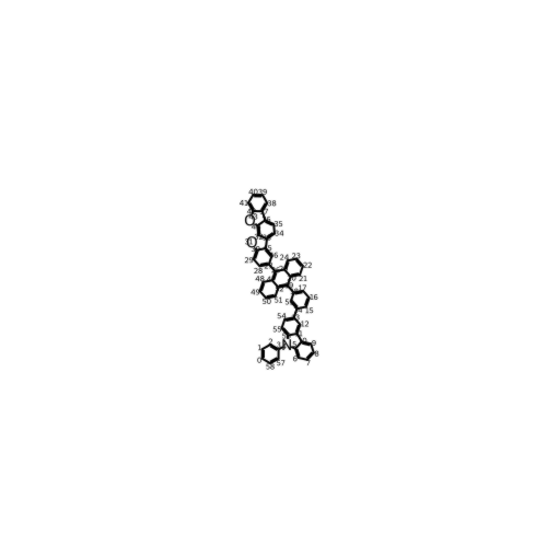 c1ccc(-n2c3ccccc3c3cc(-c4cccc(-c5c6ccccc6c(-c6ccc7oc8c(ccc9c%10ccccc%10oc98)c7c6)c6ccccc56)c4)ccc32)cc1